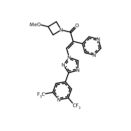 COC1CN(C(=O)/C(=C/n2cnc(-c3cc(C(F)(F)F)nc(C(F)(F)F)c3)n2)c2cncnc2)C1